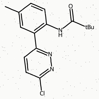 Cc1ccc(NC(=O)C(C)(C)C)c(-c2ccc(Cl)nn2)c1